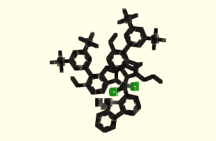 CCCC1=Cc2c(ccc(CC)c2-c2cc([Si](C)(C)C)cc([Si](C)(C)C)c2)[CH]1[Zr]([Cl])([Cl])([c]1cccc2c1[SiH2]c1ccccc1-2)[CH]1C(CCC)=Cc2c1ccc(CC)c2-c1cc([Si](C)(C)C)cc([Si](C)(C)C)c1